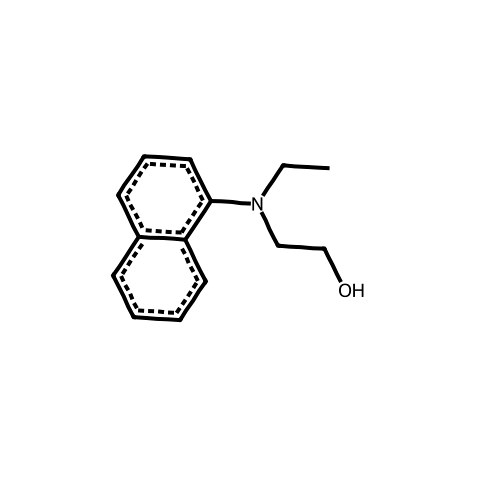 CCN(CCO)c1cccc2ccccc12